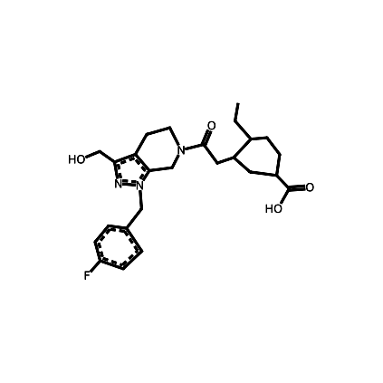 CCC1CCC(C(=O)O)CC1CC(=O)N1CCc2c(CO)nn(Cc3ccc(F)cc3)c2C1